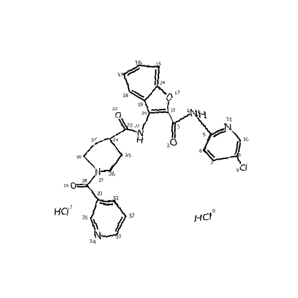 Cl.Cl.O=C(Nc1ccc(Cl)cn1)c1oc2ccccc2c1NC(=O)C1CCN(C(=O)c2cccnc2)CC1